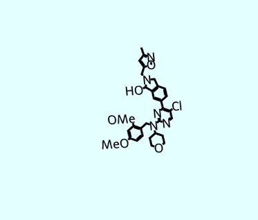 COc1ccc(CN(c2ncc(Cl)c(-c3ccc4c(c3)C(O)N(Cc3cc(C)no3)C4)n2)C2CCOCC2)c(OC)c1